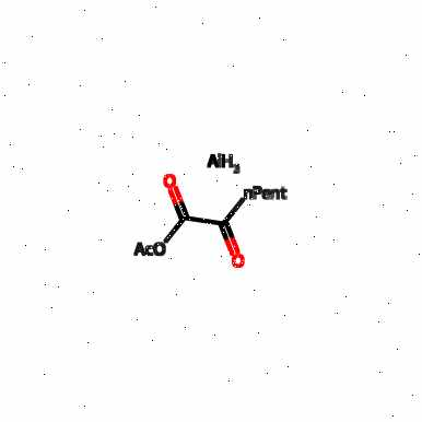 CCCCCC(=O)C(=O)OC(C)=O.[AlH3]